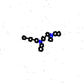 c1ccc(-c2ccc(-c3ccc(N(c4ccc(-c5cccc6c5c5ccccc5n6-c5ccc6ccccc6c5)cc4)c4ccc5ccccc5c4)cc3)cc2)cc1